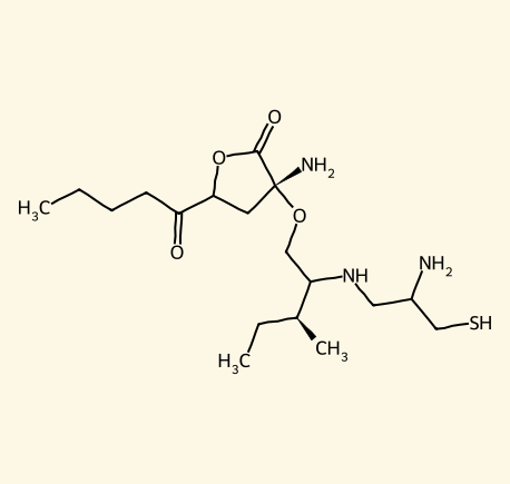 CCCCC(=O)C1C[C@@](N)(OCC(NCC(N)CS)[C@@H](C)CC)C(=O)O1